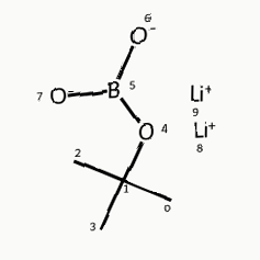 CC(C)(C)OB([O-])[O-].[Li+].[Li+]